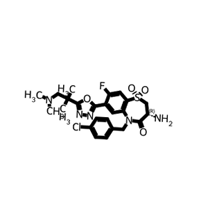 CN(C)CC(C)(C)c1nnc(-c2cc3c(cc2F)S(=O)(=O)C[C@H](N)C(=O)N3Cc2ccc(Cl)cc2)o1